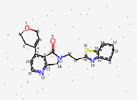 O=C1c2c(C3=CCOCC3)ccnc2CN1CCc1nc2ccccc2s1